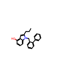 CCCc1cc2c(O)cccc2n1Cc1ccccc1-c1ccccc1